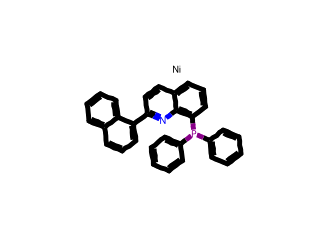 [Ni].c1ccc(P(c2ccccc2)c2cccc3ccc(-c4cccc5ccccc45)nc23)cc1